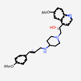 COc1ccc(/C=C/CNC2CCN(C[C@H](O)c3ccnc4ccc(OC)cc34)CC2)cc1